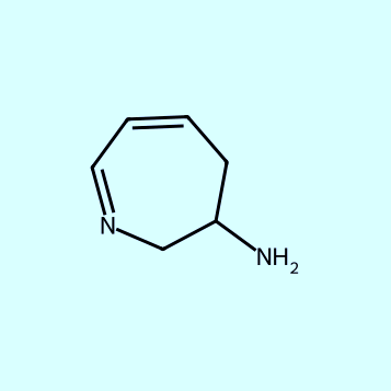 NC1CC=CC=NC1